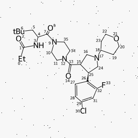 CCC(=O)NC(CC(C)(C)C)C(=O)N1CCN(C(=O)C2CN(C3CCOCC3)C[C@H]2c2ccc(Cl)cc2F)CC1